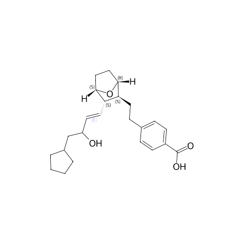 O=C(O)c1ccc(CC[C@H]2[C@H](/C=C/C(O)CC3CCCC3)[C@@H]3CC[C@H]2O3)cc1